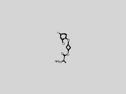 CCCCCCC(C)C(=O)OC1CC(Oc2ccc(F)cc2Cl)C1